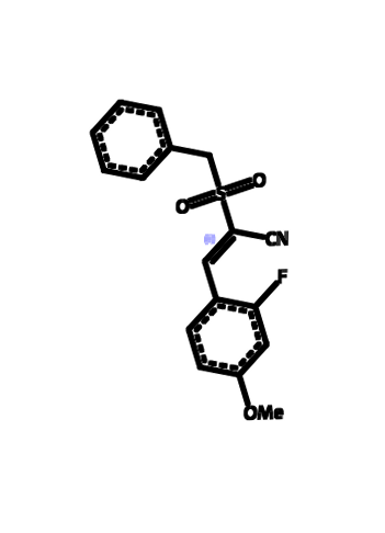 COc1ccc(/C=C(\C#N)S(=O)(=O)Cc2ccccc2)c(F)c1